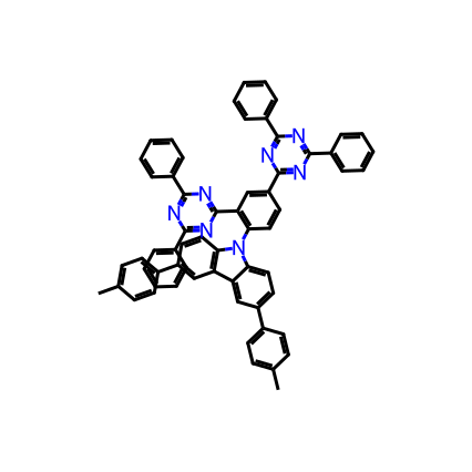 Cc1ccc(-c2ccc3c(c2)c2cc(-c4ccc(C)cc4)ccc2n3-c2ccc(-c3nc(-c4ccccc4)nc(-c4ccccc4)n3)cc2-c2nc(-c3ccccc3)nc(-c3ccccc3)n2)cc1